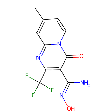 Cc1ccn2c(=O)c(/C(N)=N/O)c(C(F)(F)F)nc2c1